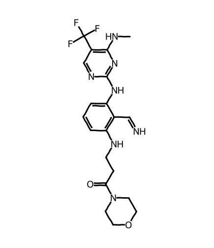 CNc1nc(Nc2cccc(NCCC(=O)N3CCOCC3)c2C=N)ncc1C(F)(F)F